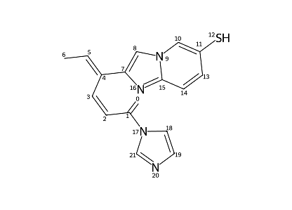 C=C(/C=C\C(=C/C)c1cn2cc(S)ccc2n1)n1ccnc1